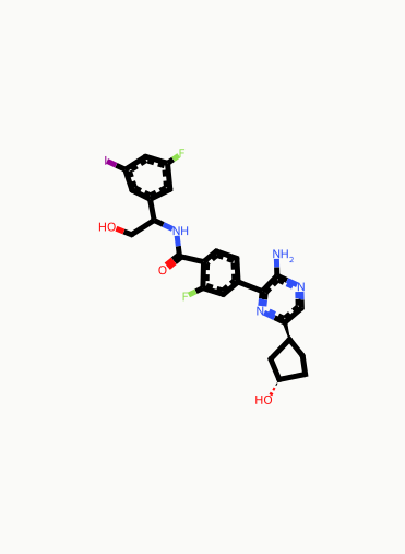 Nc1ncc([C@H]2CC[C@H](O)C2)nc1-c1ccc(C(=O)NC(CO)c2cc(F)cc(I)c2)c(F)c1